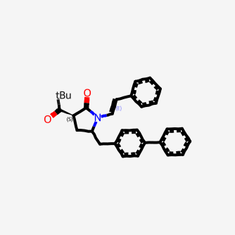 CC(C)(C)C(=O)[C@@H]1CC(Cc2ccc(-c3ccccc3)cc2)N(/C=C/c2ccccc2)C1=O